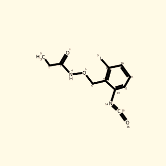 CCC(=O)NOCc1c(I)cccc1N=C=O